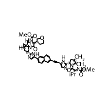 COC(=O)N[C@H](C(=O)N1[C@H](C)[C@H](C)C[C@H]1c1ncc(C#Cc2ccc3cc(-c4cnc([C@@H]5C[C@H]6C[C@H]6N5C(=O)[C@@H](NC(=O)OC)[C@@H]5CCCOC5)[nH]4)ccc3c2)[nH]1)C(C)C